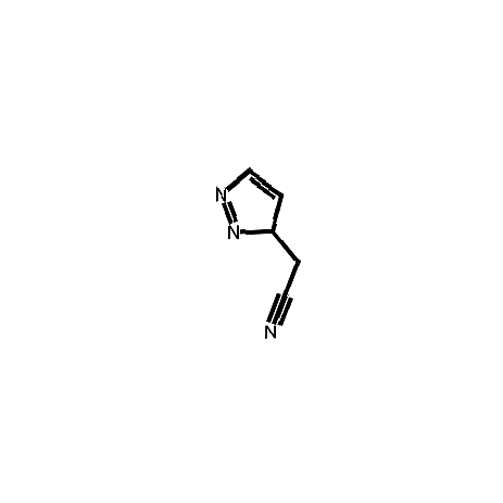 N#CCC1C=CN=N1